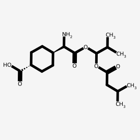 CC(C)CC(=O)OC(OC(=O)C(N)[C@H]1CC[C@H](C(=O)O)CC1)C(C)C